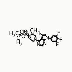 C[C@@H]1CN(c2ncnc3c2c(I)cn3-c2cc(F)c(F)c(F)c2)CCN1C(=O)OC(C)(C)C